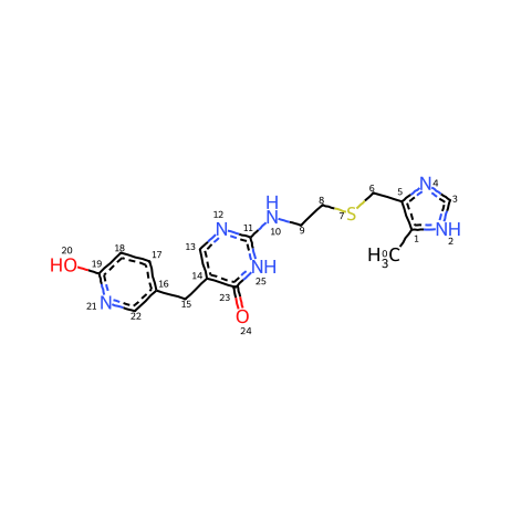 Cc1[nH]cnc1CSCCNc1ncc(Cc2ccc(O)nc2)c(=O)[nH]1